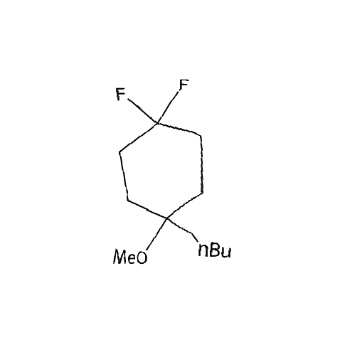 CCCCC1(OC)CCC(F)(F)CC1